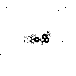 CC(O)N(c1ccc(N2C(=O)c3cccc4c([N+](=O)[O-])ccc2c34)cc1)C(C)O